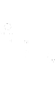 CCCCc1ccccc1OCC(O)CCNC(CCCCCCC(=O)OC)COC1CCCCO1